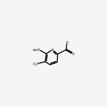 COc1nc(C(=O)Cl)ccc1[N+](=O)[O-]